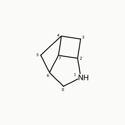 C1NC2CC3CC1C32